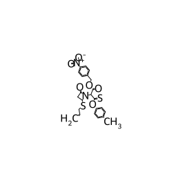 C=CCSC1CC(=O)N1C(C(=O)OCc1ccc([N+](=O)[O-])cc1)C(=S)Oc1ccc(C)cc1